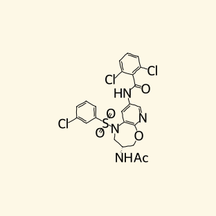 CC(=O)N[C@H]1COc2ncc(NC(=O)c3c(Cl)cccc3Cl)cc2N(S(=O)(=O)c2cccc(Cl)c2)C1